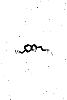 CCc1ccc2cc(CCNC)oc2c1